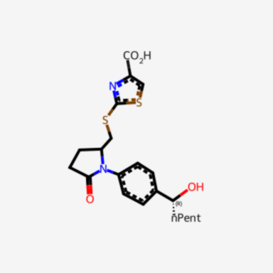 CCCCC[C@@H](O)c1ccc(N2C(=O)CCC2CSc2nc(C(=O)O)cs2)cc1